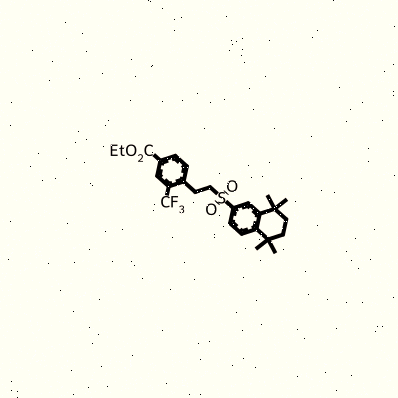 CCOC(=O)c1ccc(CCS(=O)(=O)c2ccc3c(c2)C(C)(C)CCC3(C)C)c(C(F)(F)F)c1